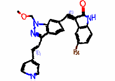 COCn1nc(/C=C/c2ccncc2)c2ccc(/C=C3/C(=O)Nc4ccc(Br)cc43)cc21